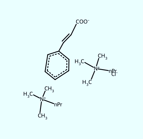 CCC[N+](C)(C)C.CCC[N+](C)(C)C.O=C([O-])C=Cc1ccccc1.[Cl-]